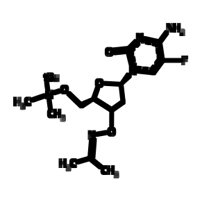 CC(C)=NOC1C[C@H](n2cc(F)c(N)nc2=O)O[C@@H]1CO[Si](C)(C)C(C)(C)C